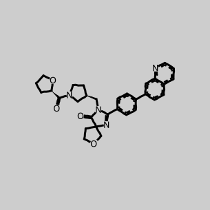 O=C([C@H]1CCCO1)N1CC[C@@H](CN2C(=O)C3(CCOC3)N=C2c2ccc(-c3ccc4cccnc4c3)cc2)C1